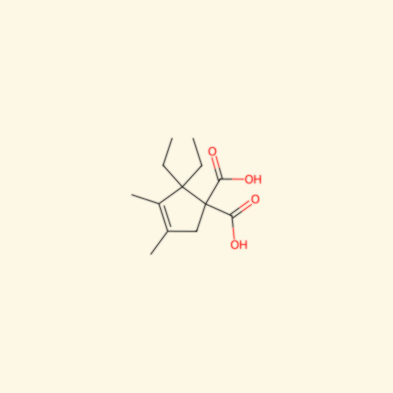 CCC1(CC)C(C)=C(C)CC1(C(=O)O)C(=O)O